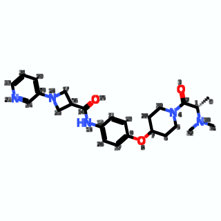 C[C@@H](C(=O)N1CCC(Oc2ccc(NC(=O)C3CN(c4cccnc4)C3)cc2)CC1)N(C)C